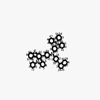 c1ccc(-n2c3ccccc3c3c(-c4ccc(N(c5ccc(-c6cccc7ccccc67)cc5)c5ccc([Si](c6ccccc6)(c6ccccc6)c6ccccc6)cc5)cc4)cc4sc5ccccc5c4c32)cc1